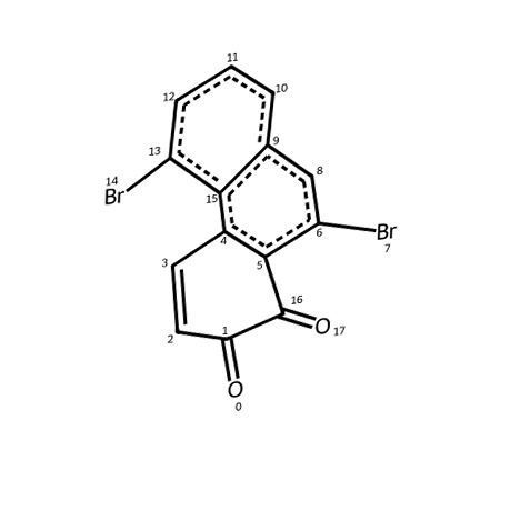 O=C1C=Cc2c(c(Br)cc3cccc(Br)c23)C1=O